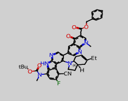 CCC1=CCC2[C@@H](CCN2c2c(-c3cnc4c(c3)c(=O)c(C(=O)OCc3ccccc3)cn4C)cnc3[nH]c4c(N(C)C(=O)OC(C)(C)C)cc(F)c(C#N)c4c23)C1